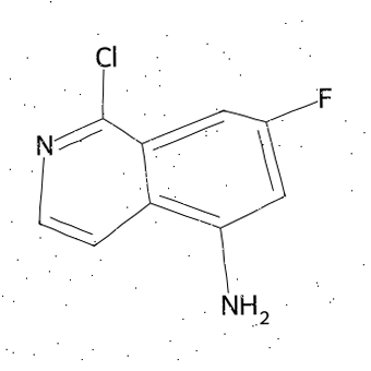 Nc1cc(F)cc2c(Cl)nccc12